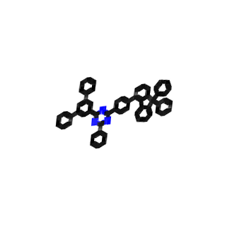 c1ccc(-c2cc(-c3ccccc3)cc(-c3nc(-c4ccccc4)nc(-c4ccc(-c5cccc6c5-c5ccccc5C6(c5ccccc5)c5ccccc5)cc4)n3)c2)cc1